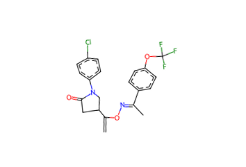 C=C(O/N=C(\C)c1ccc(OC(F)(F)F)cc1)C1CC(=O)N(c2ccc(Cl)cc2)C1